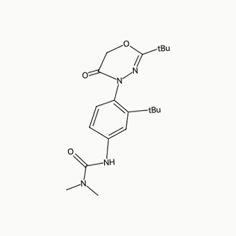 CN(C)C(=O)Nc1ccc(N2N=C(C(C)(C)C)OCC2=O)c(C(C)(C)C)c1